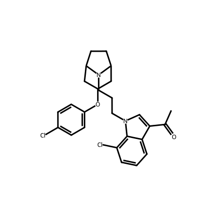 CC(=O)c1cn(CCCN2C3CCC2CC(Oc2ccc(Cl)cc2)C3)c2c(Cl)cccc12